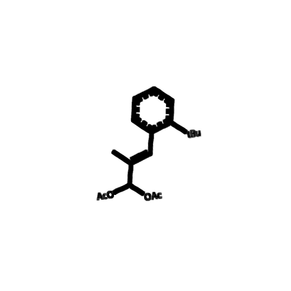 CC(=O)OC(OC(C)=O)/C(C)=C/c1ccccc1C(C)(C)C